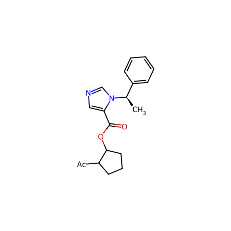 CC(=O)C1CCCC1OC(=O)c1cncn1[C@H](C)c1ccccc1